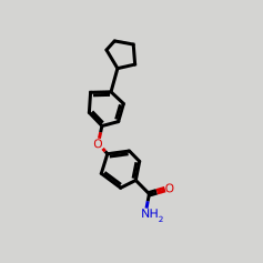 NC(=O)c1ccc(Oc2ccc(C3CCCC3)cc2)cc1